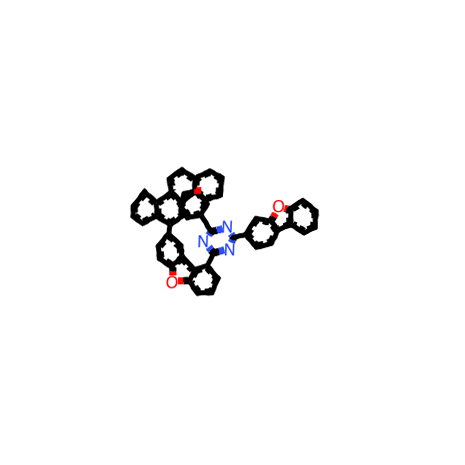 c1ccc(-c2nc(-c3ccc4c(c3)oc3ccccc34)nc(-c3cccc4oc5ccc(-c6cc7c8ccccc8ccc7c7ccccc67)cc5c34)n2)cc1